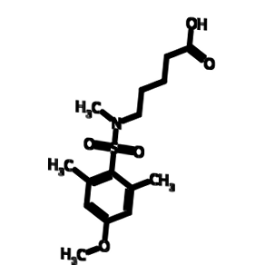 COc1cc(C)c(S(=O)(=O)N(C)CCCCC(=O)O)c(C)c1